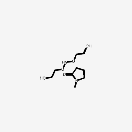 CN1CCCC1=O.OCCONOCCO